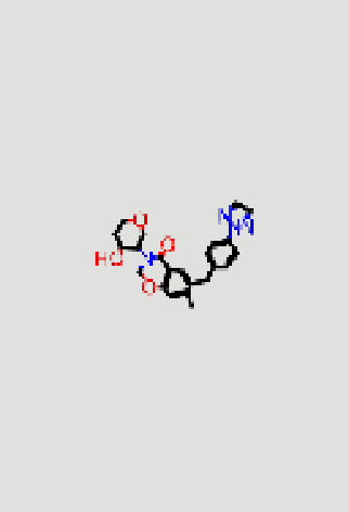 Cc1cc2c(cc1Cc1ccc(-n3nccn3)cc1)C(=O)N([C@H]1COCC[C@@H]1O)CO2